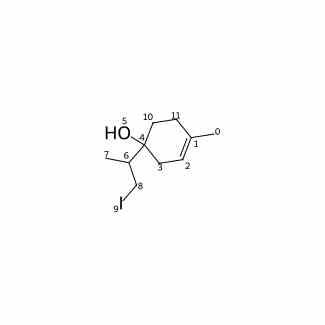 CC1=CCC(O)(C(C)CI)CC1